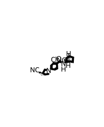 N#CC[C@@H]1CCN(c2ccc(C(=O)N[C@@H]3C[C@@H]4CC[C@H]3N4C#N)c(Cl)c2)C1